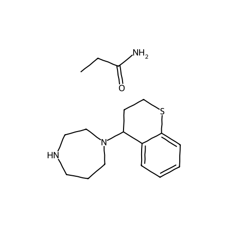 CCC(N)=O.c1ccc2c(c1)SCCC2N1CCCNCC1